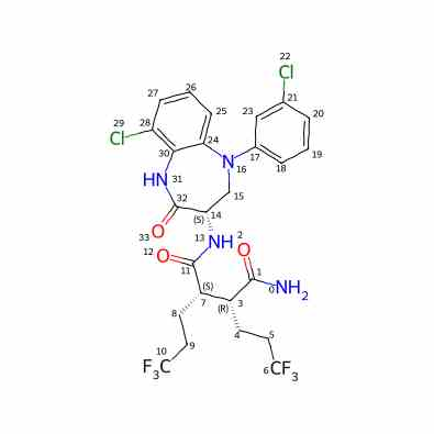 NC(=O)[C@H](CCC(F)(F)F)[C@H](CCC(F)(F)F)C(=O)N[C@H]1CN(c2cccc(Cl)c2)c2cccc(Cl)c2NC1=O